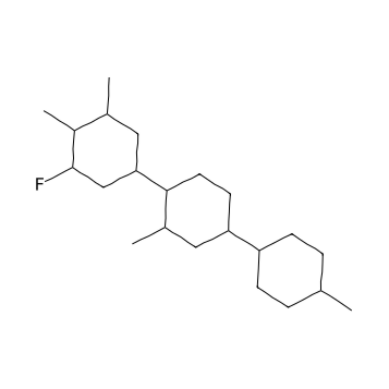 CC1CCC(C2CCC(C3CC(C)C(C)C(F)C3)C(C)C2)CC1